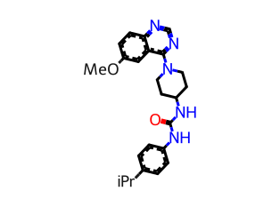 COc1ccc2ncnc(N3CCC(NC(=O)Nc4ccc(C(C)C)cc4)CC3)c2c1